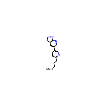 COCCCc1ccc(-c2cnc3c(c2)CCN3)cn1